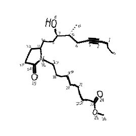 CCC#CC[C@@H](C)[C@H](O)CCC1CCC(=O)N1CCCCCCC(=O)OC